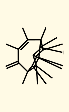 C=C1/C(C)=C(/C)C2(C)/C(C)=C(/C)C(C)(C)C1(C)/C(C)=C(/C)C2(C)I